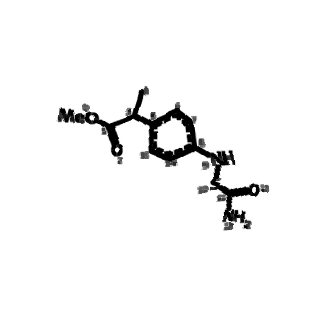 COC(=O)C(C)c1ccc(NSC(N)=O)cc1